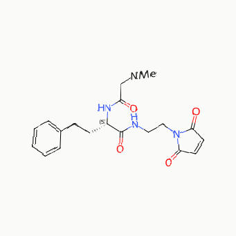 CNCC(=O)N[C@@H](CCc1ccccc1)C(=O)NCCN1C(=O)C=CC1=O